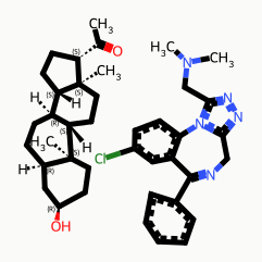 CC(=O)[C@H]1CC[C@H]2[C@@H]3CC[C@@H]4C[C@H](O)CC[C@]4(C)[C@H]3CC[C@]12C.CN(C)Cc1nnc2n1-c1ccc(Cl)cc1C(c1ccccc1)=NC2